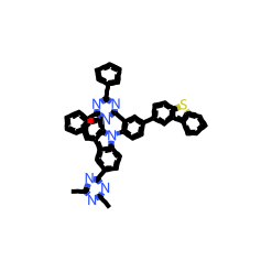 Cc1nc(C)nc(-c2ccc3c(c2)c2ccccc2n3-c2ccc(-c3ccc4sc5ccccc5c4c3)cc2-c2nc(-c3ccccc3)nc(-c3ccccc3)n2)n1